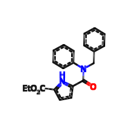 CCOC(=O)c1ccc(C(=O)N(Cc2ccccc2)c2ccccc2)[nH]1